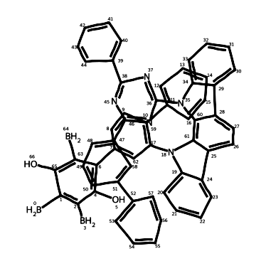 Bc1c(B)c(O)c(-c2ccc(-c3ccccc3)c(-n3c4ccccc4c4ccc5c6ccccc6n(-c6nc(-c7ccccc7)nc(-c7cccc(-c8ccccc8)c7)n6)c5c43)c2)c(B)c1O